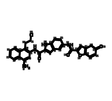 Nc1cc(NC(=O)c2cc3cc(NC(=O)c4cc5c(o4)C=CC(=O)C5)ccc3[nH]2)c(CCCl)c2ccccc12